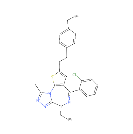 Cc1nnc2n1-c1sc(CCc3ccc(CC(C)C)cc3)cc1C(c1ccccc1Cl)=NC2CC(C)C